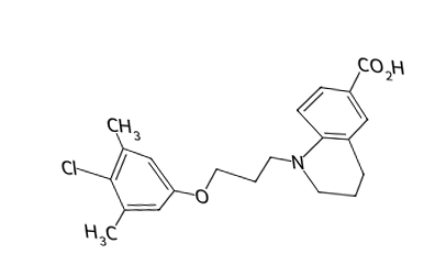 Cc1cc(OCCCN2CCCc3cc(C(=O)O)ccc32)cc(C)c1Cl